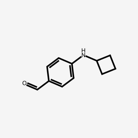 O=Cc1ccc(NC2CCC2)cc1